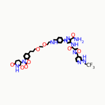 NC(=O)c1nn(-c2ccc(CNCCOCCOCCCc3ccc4c(c3)oc(=O)n4C3CCC(=O)NC3=O)cc2)cc1NC(=O)c1coc(-c2ccnc(NCC(F)(F)F)c2)n1